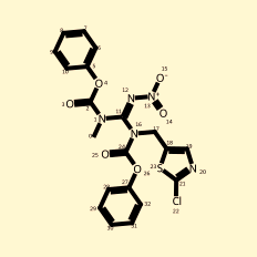 CN(C(=O)Oc1ccccc1)C(=N[N+](=O)[O-])N(Cc1cnc(Cl)s1)C(=O)Oc1ccccc1